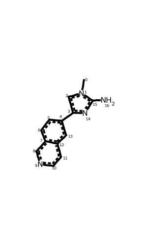 Cn1cc(-c2ccc3cnccc3c2)nc1N